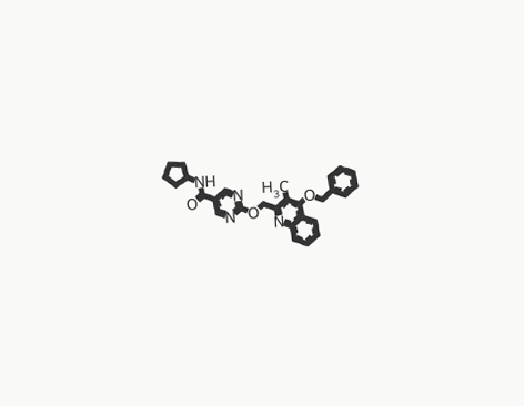 Cc1c(COc2ncc(C(=O)NC3CCCC3)cn2)nc2ccccc2c1OCc1ccccc1